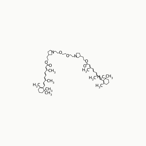 CC1=C(/C=C/C(C)=C/C=C/C(C)=C/C(=O)OCCC2CCN(CCOCCOCCN3CCC(CCOC(=O)/C=C(C)/C=C/C=C(C)/C=C/C4=C(C)CCCC4(C)C)C3)C2)C(C)(C)CCC1